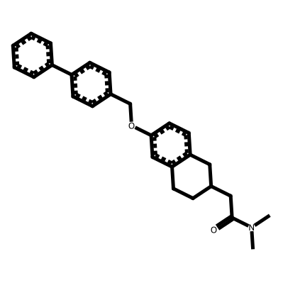 CN(C)C(=O)CC1CCc2cc(OCc3ccc(-c4ccccc4)cc3)ccc2C1